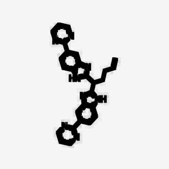 C=CCCC(c1nc2cc(-c3ncccn3)ccc2[nH]1)c1nc2cc(-c3ncccn3)ccc2[nH]1